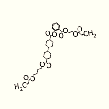 C=CC(=O)OCCCCOC(=O)C1CCC(C2CCC(C(=O)Oc3ccccc3C(=O)OCCOC(=O)C=C)CC2)CC1